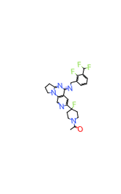 CC(=O)N1CCC(F)(c2cc3/c(=N/Cc4cccc(C(F)F)c4F)nc4n(c3cn2)CCC4)CC1